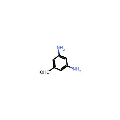 Nc1cc(N)cc([C]=O)c1